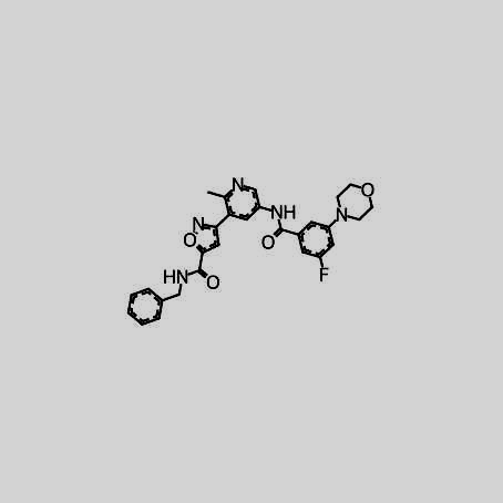 Cc1ncc(NC(=O)c2cc(F)cc(N3CCOCC3)c2)cc1-c1cc(C(=O)NCc2ccccc2)on1